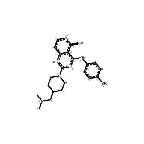 CN(C)CC1CCN(c2nc(Nc3ccc(C(F)(F)F)cc3)c3c(=O)[nH]ccc3n2)CC1